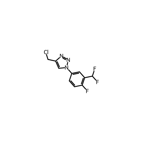 Fc1ccc(-n2cc(CCl)nn2)cc1C(F)F